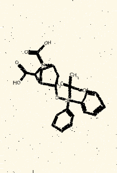 CC(C)(C)[Si](OC1CC2CC1C(C(=O)O)N2C(=O)O)(c1ccccc1)c1ccccc1